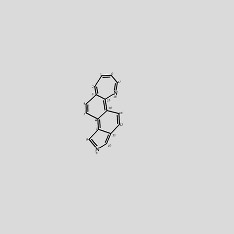 c1ccc2ccc3c4cncc4ccc3c2nc1